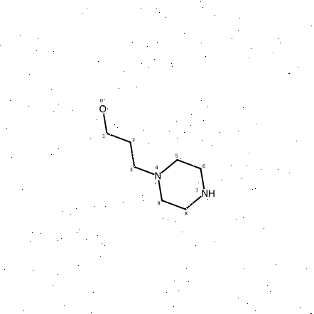 [O]CCCN1CCNCC1